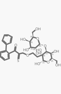 O=C(C(=S)COCC[C@]1(O)[C@@H](O)O[C@H](CO)[C@H](O)[C@@H]1O[C@H]1O[C@H](CO)[C@H](O)[C@H](O)[C@H]1O)c1ccccc1-c1ccccc1